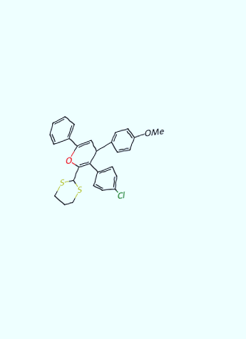 COc1ccc(C2C=C(c3ccccc3)OC(C3SCCCS3)=C2c2ccc(Cl)cc2)cc1